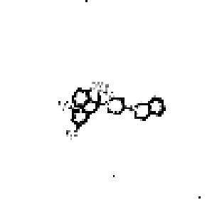 [CH2]C(Cc1cc(C(F)(F)F)cc(C(F)(F)F)c1)(c1ccccc1OC)N1CCC(N2CCc3ccccc3C2)CC1